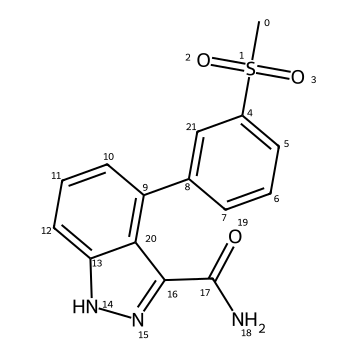 CS(=O)(=O)c1cccc(-c2cccc3[nH]nc(C(N)=O)c23)c1